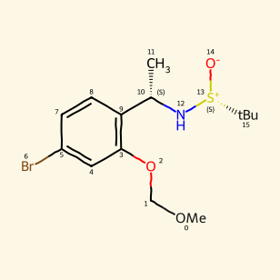 COCOc1cc(Br)ccc1[C@H](C)N[S@+]([O-])C(C)(C)C